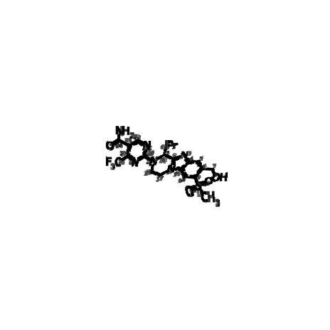 CC(C)[C@H]1c2nc3cc(CO)c(S(C)(=O)=O)cc3n2CCN1c1ncc(C(N)=O)c(C(F)(F)F)n1